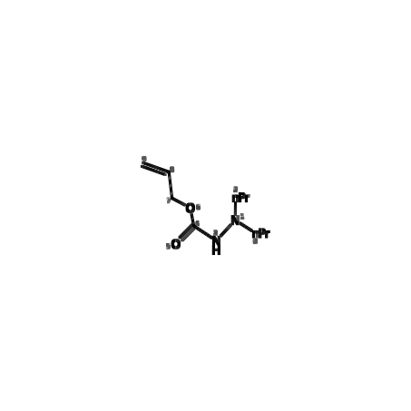 [CH2]CCN(CCC)NC(=O)OCC=C